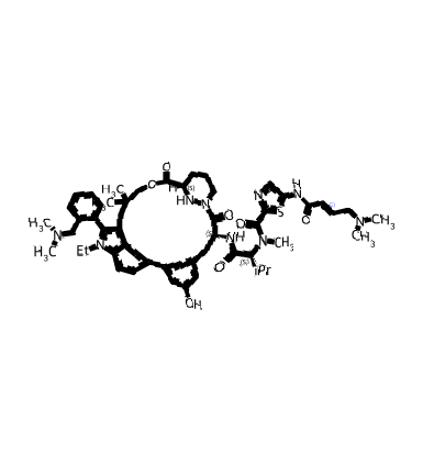 CCn1c(-c2ccccc2CN(C)C)c2c3cc(ccc31)-c1cc(O)cc(c1)C[C@H](NC(=O)[C@H](C(C)C)N(C)C(=O)c1ncc(NC(=O)/C=C/CN(C)C)s1)C(=O)N1CCC[C@H](N1)C(=O)OCC(C)(C)C2